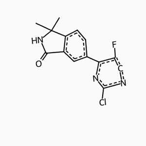 CC1(C)NC(=O)c2cc(-c3nc(Cl)ncc3F)ccc21